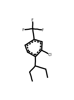 CCC(CC)c1ccc(C(F)(F)F)cc1Cl